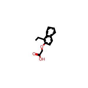 CCc1c(OCC(=O)O)ccc2ccccc12